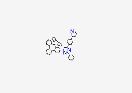 c1ccc(-c2nc(-c3ccc(-c4cccnc4)cc3)cc(-c3ccc4c(c3)C3(c5ccccc5-c5ccccc5-4)c4ccccc4-c4ccccc43)n2)cc1